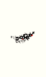 COC(=O)/C1=C(c2ccc(N3C[C@@H](C)O[C@@H](C)C3)cc2)/C=C\CCc2c1cccc2-c1ccc(C#N)cc1